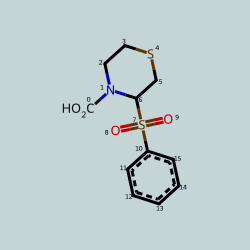 O=C(O)N1CCSCC1S(=O)(=O)c1ccccc1